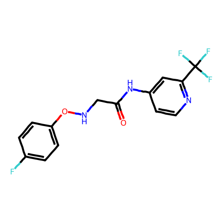 O=C(CNOc1ccc(F)cc1)Nc1ccnc(C(F)(F)F)c1